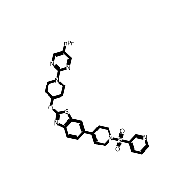 CCCc1cnc(N2CCC(Oc3nc4ccc(C5=CCN(S(=O)(=O)c6cccnc6)CC5)cc4s3)CC2)nc1